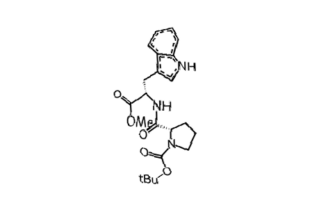 COC(=O)[C@H](Cc1c[nH]c2ccccc12)NC(=O)[C@@H]1CCCN1C(=O)OC(C)(C)C